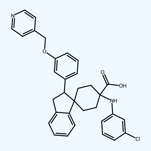 O=C(O)C1(Nc2cccc(Cl)c2)CCC2(CC1)c1ccccc1CC2c1cccc(OCc2ccncc2)c1